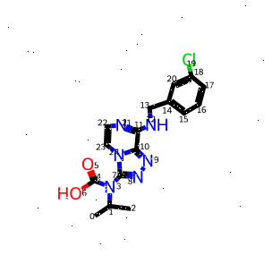 CC(C)N(C(=O)O)c1nnc2c(NCc3cccc(Cl)c3)nccn12